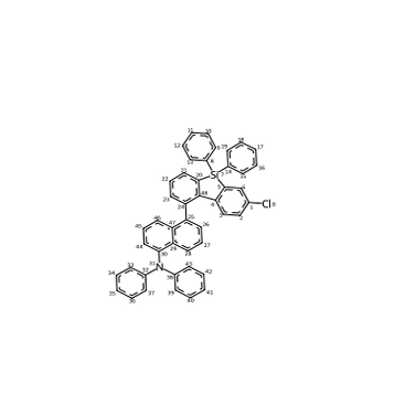 Clc1ccc2c(c1)[Si](c1ccccc1)(c1ccccc1)c1cccc(-c3cccc4c(N(c5ccccc5)c5ccccc5)cccc34)c1-2